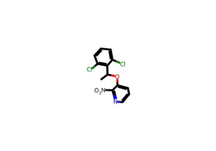 CC(Oc1cccnc1[N+](=O)[O-])c1c(Cl)cccc1Cl